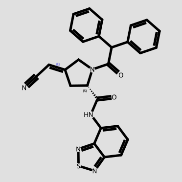 N#C/C=C1\C[C@@H](C(=O)Nc2cccc3nsnc23)N(C(=O)C(c2ccccc2)c2ccccc2)C1